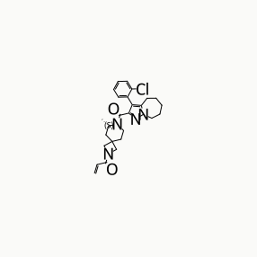 C=CC(=O)N1CC2(CCN(C(=O)c3nn4c(c3-c3ccccc3Cl)CCCCC4)[C@@H](C)C2)C1